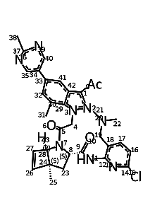 CC(=O)c1nn(CC(=O)N2[C@H](C(=O)Nc3nc(Cl)ccc3CN(C)C)C[C@@]3(C)C=C[C@@H]23)c2c(C)cc(-c3cnc(C)nc3)cc12